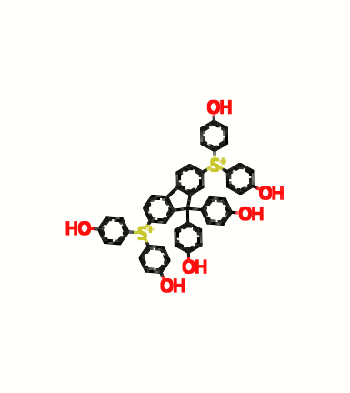 Oc1ccc([S+](c2ccc(O)cc2)c2ccc3c(c2)C(c2ccc(O)cc2)(c2ccc(O)cc2)c2cc([S+](c4ccc(O)cc4)c4ccc(O)cc4)ccc2-3)cc1